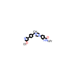 CCCNC(=O)c1ccc(N2CCN(C(C)c3ccc(-c4cncc(OCC)c4)cc3)CC2)cc1